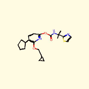 CC(C)(NC(=O)Oc1ccc(C2CCCC2)c(OCC2CC2)n1)c1nccs1